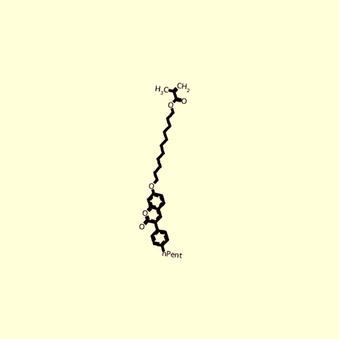 C=C(C)C(=O)OCCCCCCCCCCCOc1ccc2cc(-c3ccc(CCCCC)cc3)c(=O)oc2c1